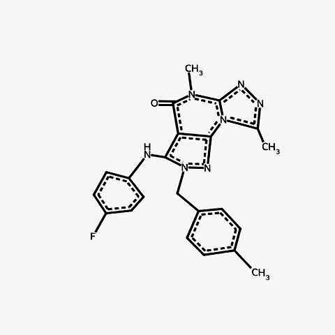 Cc1ccc(Cn2nc3c(c2Nc2ccc(F)cc2)c(=O)n(C)c2nnc(C)n32)cc1